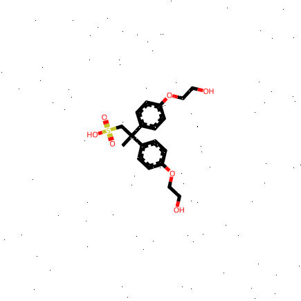 CC(CS(=O)(=O)O)(c1ccc(OCCO)cc1)c1ccc(OCCO)cc1